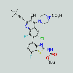 CC(C)(C)OC(=O)Nc1nc2c(-c3c(Cl)cc4c(N5CCN(C(=O)O)CC5)c(C#N)c(C#C[Si](C)(C)C)nc4c3F)ccc(F)c2s1